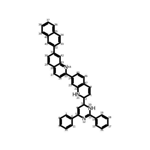 C1=CC(C2C=C(c3ccccc3)N=C(c3ccccc3)N2)Nc2cc(-c3ccc4ccc(-c5ccc6ccccc6c5)cc4n3)ccc21